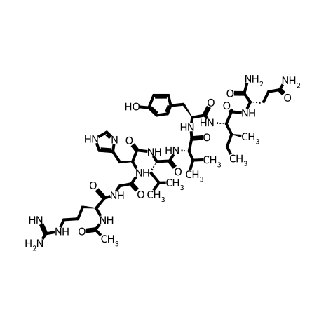 CC[C@H](C)[C@H](NC(=O)[C@H](Cc1ccc(O)cc1)NC(=O)[C@@H](NC(=O)[C@H](CC(C)C)NC(=O)[C@H](Cc1c[nH]cn1)NC(=O)CNC(=O)[C@H](CCCNC(=N)N)NC(C)=O)C(C)C)C(=O)N[C@@H](CCC(N)=O)C(N)=O